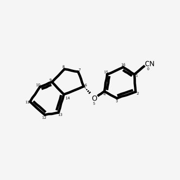 N#Cc1ccc(O[C@H]2CCc3ccccc32)cc1